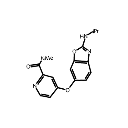 CNC(=O)c1cc(Oc2ccc3nc(NC(C)C)oc3c2)ccn1